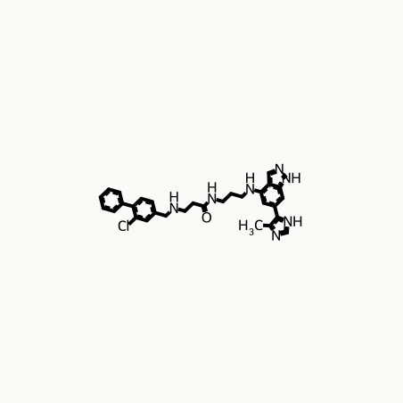 Cc1nc[nH]c1-c1cc(NCCCNC(=O)CCNCc2ccc(-c3ccccc3)c(Cl)c2)c2cn[nH]c2c1